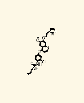 CCCNC(=O)Nc1ccc(Oc2ccnc3cc(OCCn4ccnn4)c(OC)cc23)cc1Cl